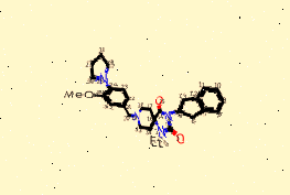 CCN1C(=O)N(C2Cc3ccccc3C2)C(=O)C12CCN(Cc1ccc(N3CCCC3)c(OC)c1)CC2